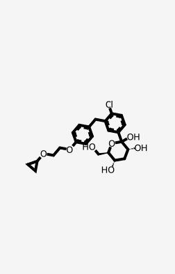 OC[C@H]1OC(O)(c2ccc(Cl)c(Cc3ccc(OCCOC4CC4)cc3)c2)[C@H](O)C[C@@H]1O